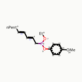 CCCCC/C=C/C=C/CP(OCC)Oc1ccc(OC)cc1